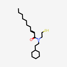 CCCCCCCC=CC(=O)N(CCS)CCC1CCCCC1